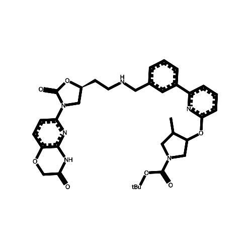 CC1CN(C(=O)OC(C)(C)C)CC1Oc1cccc(-c2cccc(CNCC[C@H]3CN(c4ccc5c(n4)NC(=O)CO5)C(=O)O3)c2)n1